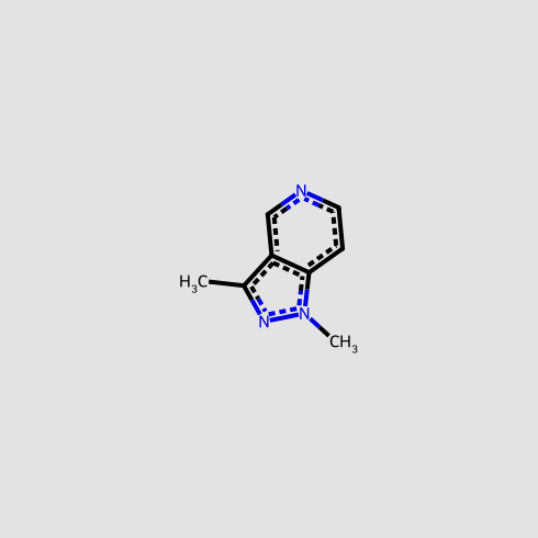 Cc1nn(C)c2ccncc12